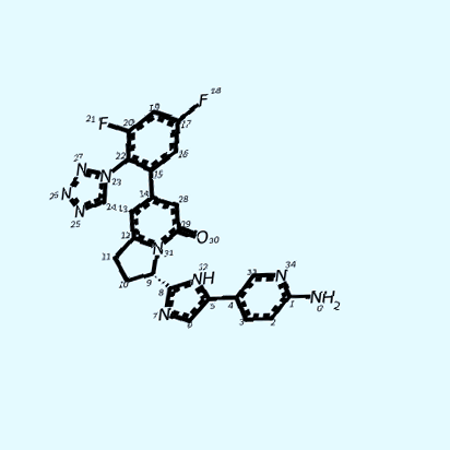 Nc1ccc(-c2cnc([C@@H]3CCc4cc(-c5cc(F)cc(F)c5-n5cnnn5)cc(=O)n43)[nH]2)cn1